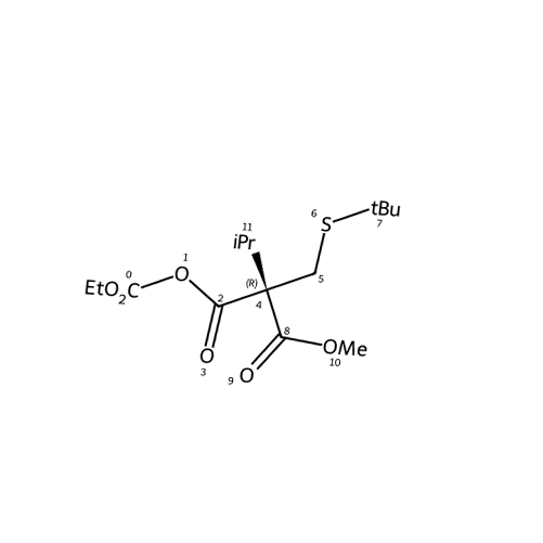 CCOC(=O)OC(=O)[C@](CSC(C)(C)C)(C(=O)OC)C(C)C